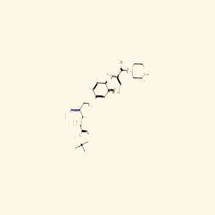 CC(C)(C)OC(=O)NC/C(=C\F)COc1ccc2nc(C(=O)N3CCOCC3)cnc2c1